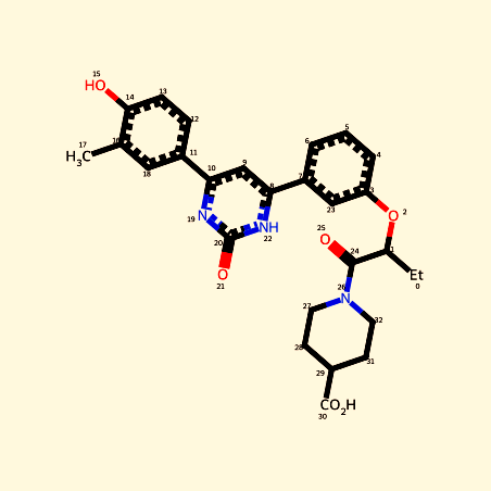 CCC(Oc1cccc(-c2cc(-c3ccc(O)c(C)c3)nc(=O)[nH]2)c1)C(=O)N1CCC(C(=O)O)CC1